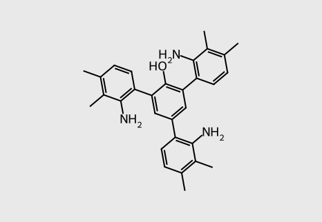 Cc1ccc(-c2cc(-c3ccc(C)c(C)c3N)c(O)c(-c3ccc(C)c(C)c3N)c2)c(N)c1C